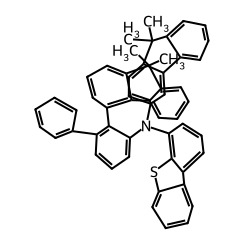 CC1(C)c2ccccc2-c2cc(N(c3cccc(-c4ccccc4)c3-c3cccc4c3-c3ccccc3C4(C)C)c3cccc4c3sc3ccccc34)ccc21